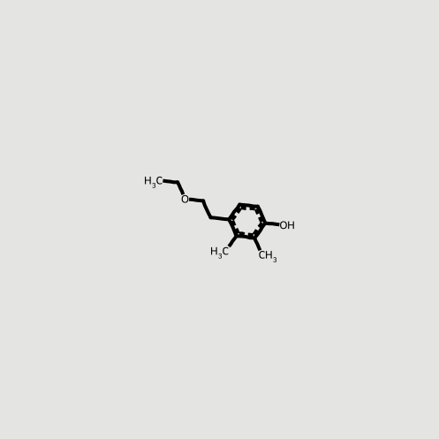 CCOCCc1ccc(O)c(C)c1C